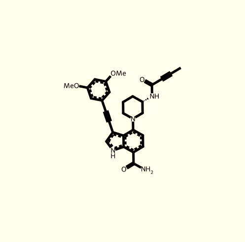 CC#CC(=O)N[C@H]1CCCN(c2ccc(C(N)=O)c3[nH]cc(C#Cc4cc(OC)cc(OC)c4)c23)C1